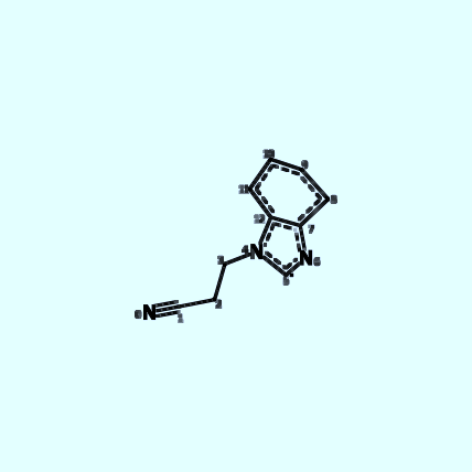 N#CCCn1[c]nc2ccccc21